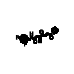 O=C(CCC(=O)N1CCCC1)NCC(=O)NCC1=C2CCCC(=C1F)C(F)C2